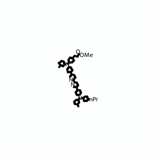 CCCc1ccc(N(c2ccc(-c3ccc(-c4ccc(-c5ccc(N(c6ccc(CCC(=O)OC)cc6)c6cccc(C)c6)cc5)cn4)nc3)cc2)c2cccc(C)c2)cc1